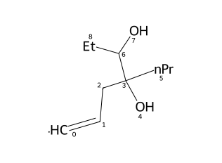 [CH]=CCC(O)(CCC)C(O)CC